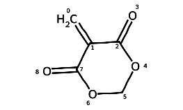 C=C1C(=O)OCOC1=O